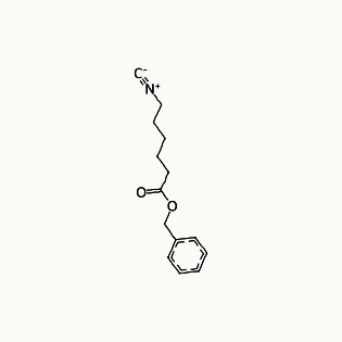 [C-]#[N+]CCCCCC(=O)OCc1ccccc1